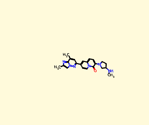 CNC1CCN(c2ccc3cc(-c4cc(C)c5nc(C)cn5n4)ccn3c2=O)C1